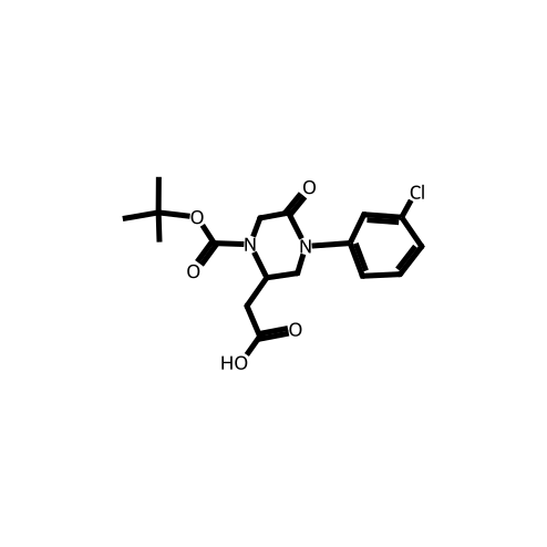 CC(C)(C)OC(=O)N1CC(=O)N(c2cccc(Cl)c2)CC1CC(=O)O